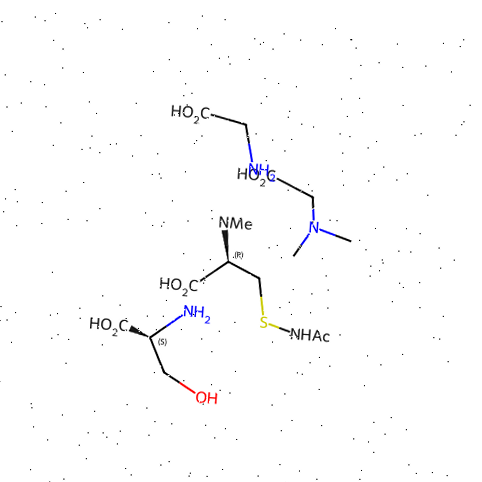 CN(C)CC(=O)O.CN[C@@H](CSNC(C)=O)C(=O)O.NCC(=O)O.N[C@@H](CO)C(=O)O